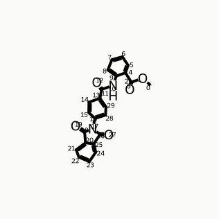 COC(=O)c1ccccc1NC(=O)c1ccc(N2C(=O)c3ccccc3C2=O)cc1